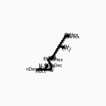 CCCCCCCCCCC(CCCCCCCC)COC(=O)CCCN(CCCC(=O)OCC(CCCCCCCCCC)CCCCCC(CC)C(CCCC)CC(CCCCCC)OC(=O)CCCCCCCCCN(CCCCCCCCCC(=O)OC(CCCCCC)CCCCCC)CCN(C)C)CCN(C)C